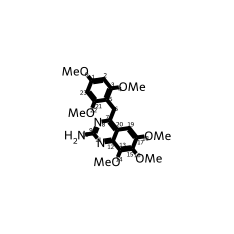 COc1cc(OC)c(Cc2nc(N)nc3c(OC)c(OC)c(OC)cc23)c(OC)c1